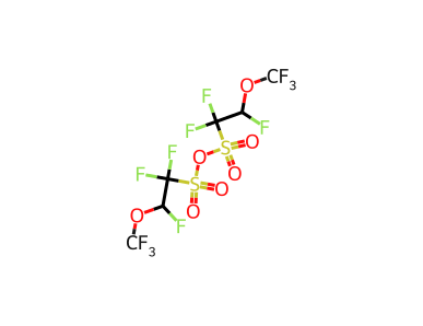 O=S(=O)(OS(=O)(=O)C(F)(F)C(F)OC(F)(F)F)C(F)(F)C(F)OC(F)(F)F